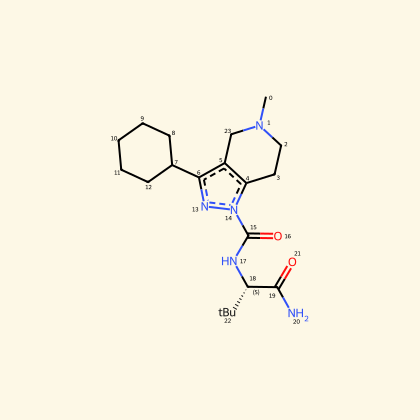 CN1CCc2c(c(C3CCCCC3)nn2C(=O)N[C@H](C(N)=O)C(C)(C)C)C1